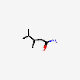 CC(C)C(C)CC(N)=O